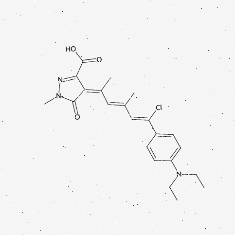 CCN(CC)c1ccc(/C(Cl)=C/C(C)=C/C(C)=C2\C(=O)N(C)N=C2C(=O)O)cc1